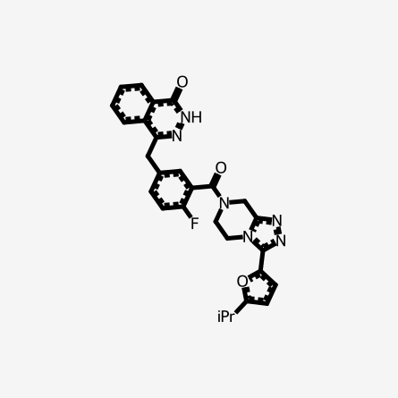 CC(C)c1ccc(-c2nnc3n2CCN(C(=O)c2cc(Cc4n[nH]c(=O)c5ccccc45)ccc2F)C3)o1